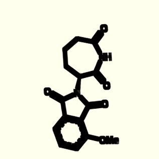 COc1cccc2c1C(=O)N([C@H]1CCCC(=O)NC1=O)C2=O